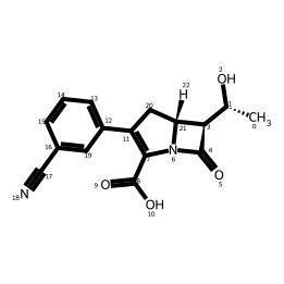 C[C@@H](O)[C@H]1C(=O)N2C(C(=O)O)=C(c3cccc(C#N)c3)C[C@H]12